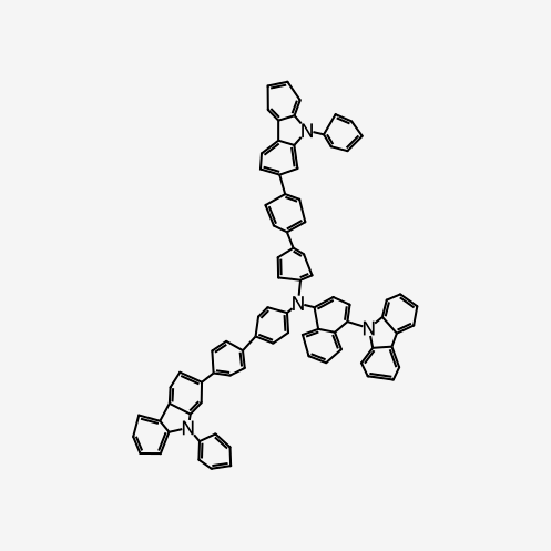 c1ccc(-n2c3ccccc3c3ccc(-c4ccc(-c5ccc(N(c6ccc(-c7ccc(-c8ccc9c%10ccccc%10n(-c%10ccccc%10)c9c8)cc7)cc6)c6ccc(-n7c8ccccc8c8ccccc87)c7ccccc67)cc5)cc4)cc32)cc1